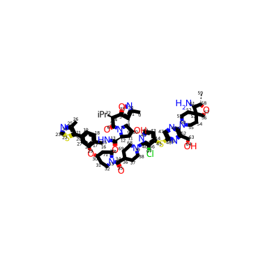 Cc1cc([C@@H](C(=O)N2C[C@H](O)C[C@H]2C(=O)NCc2ccc(-c3scnc3C)cc2OC2CCN(C(=O)C3CCN(c4nccc(Sc5cnc(N6CCC7(CC6)CO[C@@H](C)[C@H]7N)c(CO)n5)c4Cl)CC3)CC2)C(C)C)on1